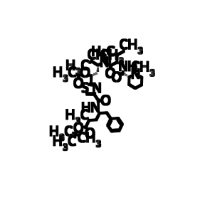 CC[C@H](C)[C@H](NC(=O)[C@H]1CCCCN1C)C(=O)N(C)[C@H](C[C@@H](OC(C)=O)c1nc(C(=O)NC(Cc2ccccc2)CC(C)C(=O)OC(C)(C)C)cs1)C(C)C